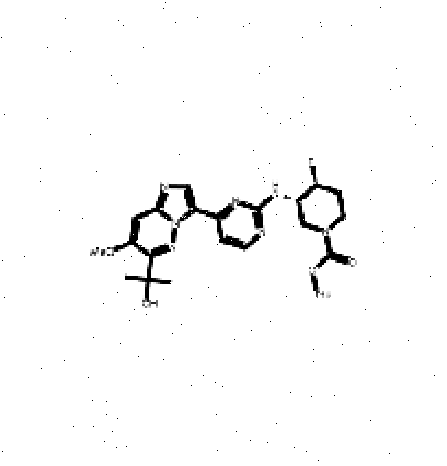 COc1cc2ncc(-c3ccnc(N[C@H]4CN(C(=O)OC(C)(C)C)CC[C@@H]4F)n3)n2nc1C(C)(C)O